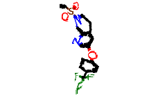 C=CS(=O)(=O)N1CCc2cc(Oc3ccc(C(F)(F)F)cc3)cnc2C1